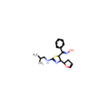 CC(C)CNC1=NC(C2CC=CO2)C(/C(=N/O)c2ccccc2)S1